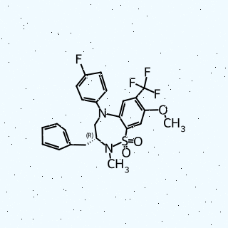 COc1cc2c(cc1C(F)(F)F)N(c1ccc(F)cc1)C[C@@H](Cc1ccccc1)N(C)S2(=O)=O